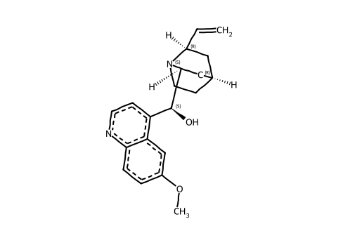 C=C[C@H]1C[C@H]2CCN1[C@H]([C@@H](O)c1ccnc3ccc(OC)cc13)C2